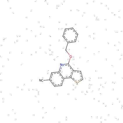 N#Cc1ccc2c(c1)nc(OCc1ccccc1)c1ccsc12